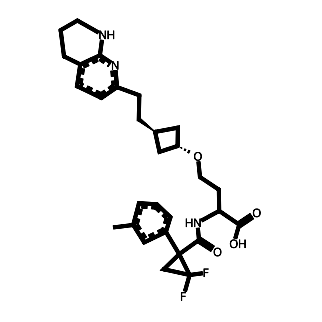 Cc1cccc(C2(C(=O)NC(CCO[C@H]3C[C@H](CCc4ccc5c(n4)NCCC5)C3)C(=O)O)CC2(F)F)c1